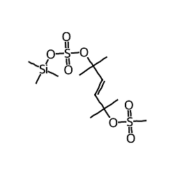 CC(C)(/C=C/C(C)(C)OS(=O)(=O)O[Si](C)(C)C)OS(C)(=O)=O